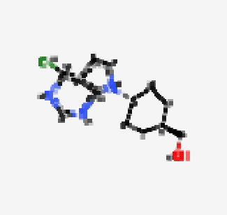 OC[C@H]1CC[C@H](n2ccc3c(Cl)ncnc32)CC1